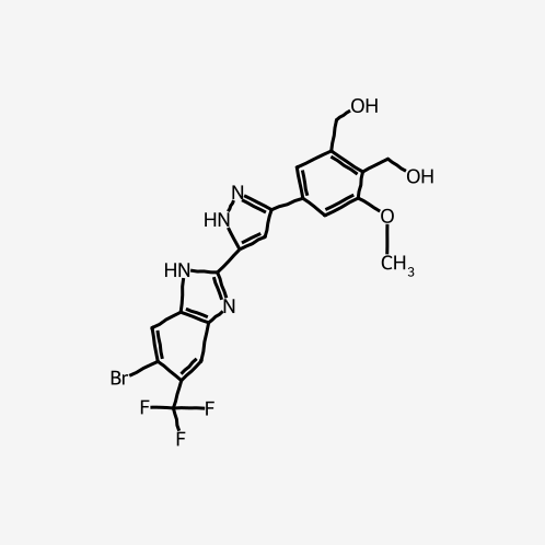 COc1cc(-c2cc(-c3nc4cc(C(F)(F)F)c(Br)cc4[nH]3)[nH]n2)cc(CO)c1CO